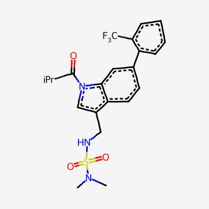 CC(C)C(=O)n1cc(CNS(=O)(=O)N(C)C)c2ccc(-c3ccccc3C(F)(F)F)cc21